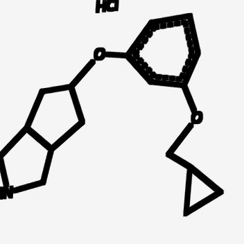 Cl.c1cc(OCC2CC2)cc(OC2CC3CNCC3C2)c1